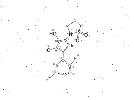 O=S1(=O)CCCN1c1oc(-c2cc(F)ccc2F)c(O)c1O